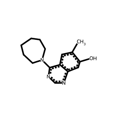 Cc1cc2c(N3CCCCCC3)ncnc2cc1O